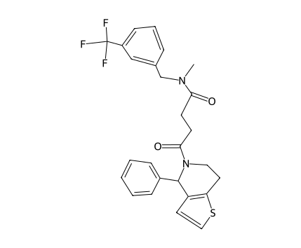 CN(Cc1cccc(C(F)(F)F)c1)C(=O)CCC(=O)N1CCc2sccc2C1c1ccccc1